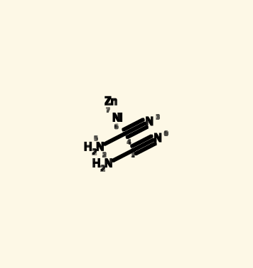 N#CN.N#CN.[Ni].[Zn]